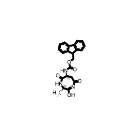 C[C@@H]1NC(=O)[C@@H](NC(=O)OCC2c3ccccc3-c3ccccc32)CC(=O)N=C1O